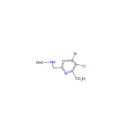 CCOC(=O)c1nc(CNC=O)cc(Br)c1Cl